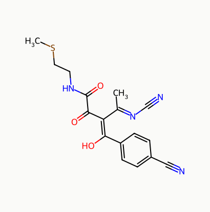 CSCCNC(=O)C(=O)/C(C(C)=NC#N)=C(\O)c1ccc(C#N)cc1